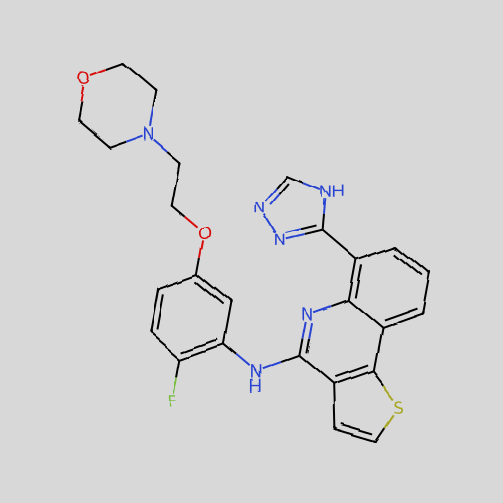 Fc1ccc(OCCN2CCOCC2)cc1Nc1nc2c(-c3nnc[nH]3)cccc2c2sccc12